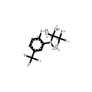 CN(c1cc(C(F)(F)F)ccc1F)C(C)(O)C(F)(F)F